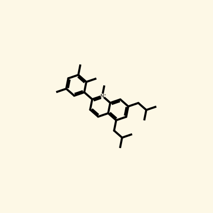 Cc1cc(C)c(C)c(-c2ccc3c(CC(C)C)cc(CC(C)C)cc3[n+]2C)c1